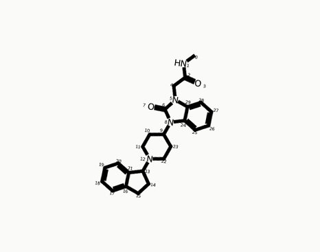 CNC(=O)Cn1c(=O)n(C2CCN(C3CCc4ccccc43)CC2)c2ccccc21